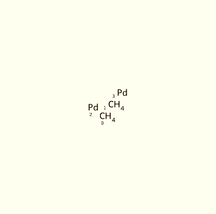 C.C.[Pd].[Pd]